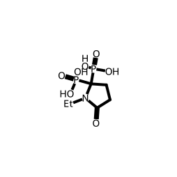 CCN1C(=O)CCC1(P(=O)(O)O)P(=O)(O)O